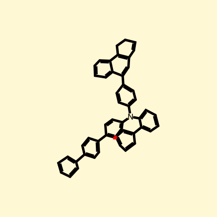 C1=Cc2cc(-c3ccc(N(c4ccc(-c5ccc(-c6ccccc6)cc5)cc4)c4ccccc4-c4ccccc4)cc3)c3ccccc3c2CC1